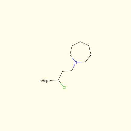 CCCCCCCC(Cl)CCN1CCCCCC1